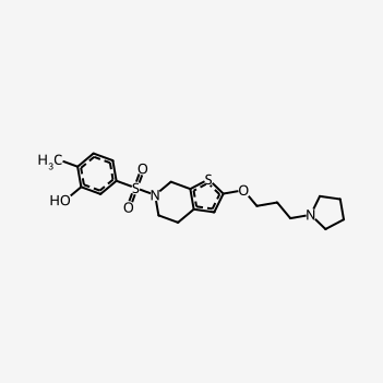 Cc1ccc(S(=O)(=O)N2CCc3cc(OCCCN4CCCC4)sc3C2)cc1O